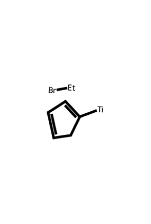 CCBr.[Ti][C]1=CC=CC1